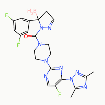 BC1(c2cc(F)cc(F)c2)CC=NN1C(=O)N1CCN(c2ncc(F)c(-n3nc(C)nc3C)n2)CC1